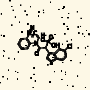 C=CN(C(=O)C(c1csc2ccc(Cl)cc12)P(=O)(O)O)c1ccccc1C#N